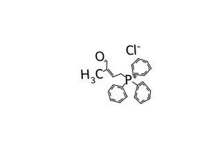 CC(C=O)=CC[P+](c1ccccc1)(c1ccccc1)c1ccccc1.[Cl-]